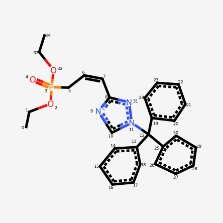 CCOP(=O)(C/C=C\c1ncn(C(c2ccccc2)(c2ccccc2)c2ccccc2)n1)OCC